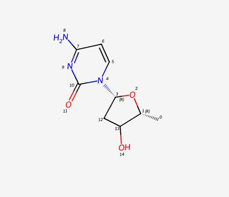 C[C@H]1O[C@@H](n2ccc(N)nc2=O)CC1O